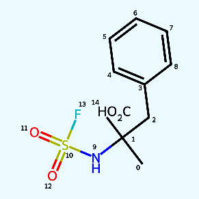 CC(Cc1ccccc1)(NS(=O)(=O)F)C(=O)O